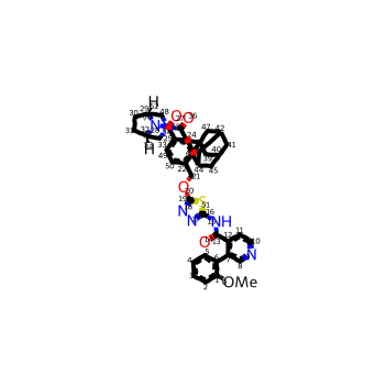 COc1ccccc1-c1cnccc1C(=O)Nc1nnc(OCc2ccc(C(=O)N3[C@@H]4CC[C@H]3CN(C(=O)CC35CC6CC(CC(C6)C3)C5)C4)cc2)s1